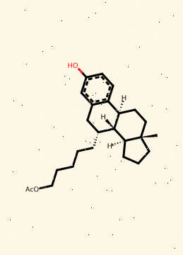 CC(=O)OCCCCC[C@@H]1Cc2cc(O)ccc2[C@H]2CC[C@]3(C)CCC[C@H]3[C@H]12